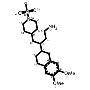 COc1cc2c(cc1OC)CC(C(CCN)CC1CCN(S(C)(=O)=O)CC1)CC2